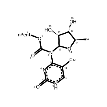 CCCCCOC(=O)N(c1nc(=O)[nH]cc1F)C1O[C@H](C)[C@@H](O)[C@H]1O